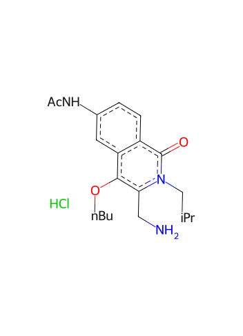 CCCCOc1c(CN)n(CC(C)C)c(=O)c2ccc(NC(C)=O)cc12.Cl